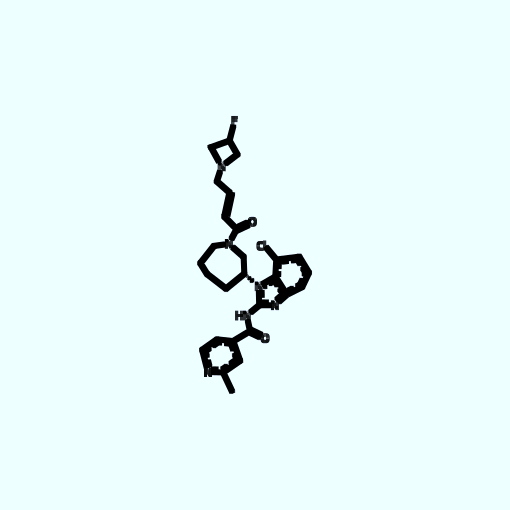 Cc1cc(C(=O)Nc2nc3cccc(Cl)c3n2[C@@H]2CCCCN(C(=O)/C=C/CN3CC(F)C3)C2)ccn1